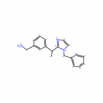 CC(c1cccc(CN)c1)c1nccn1Cc1ccccc1